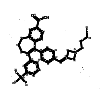 O=C(O)c1ccc2c(c1)CCCC(c1cccc(C(F)(F)F)c1)=C2c1ccc(C=C2CN(CCCF)C2)cc1